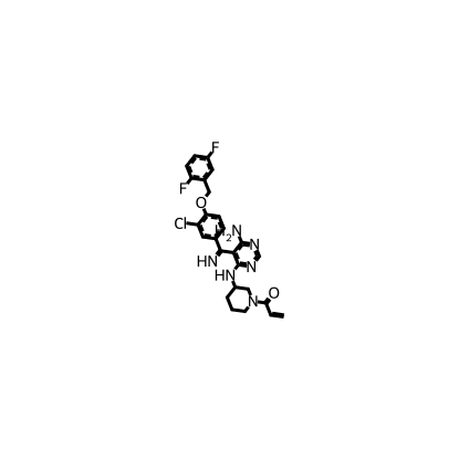 C=CC(=O)N1CCCC(Nc2ncnc(N)c2C(=N)c2ccc(OCc3cc(F)ccc3F)c(Cl)c2)C1